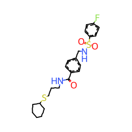 O=C(NCCCSC1CCCCC1)c1ccc(CNS(=O)(=O)c2ccc(F)cc2)cc1